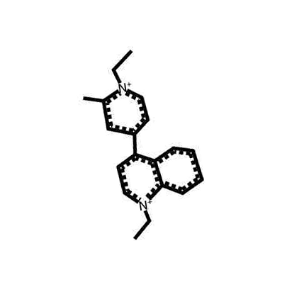 CC[n+]1ccc(-c2cc[n+](CC)c3ccccc23)cc1C